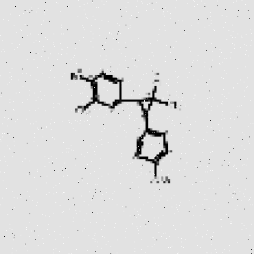 COc1ccc(C2C(c3ccc(Br)c(Cl)c3)C2(Cl)Cl)cc1